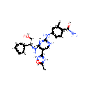 Cc1nc(-c2cnc(Nc3ccc(C(N)=O)c(C)c3)nc2N[C@H](CO)c2ccccc2)no1